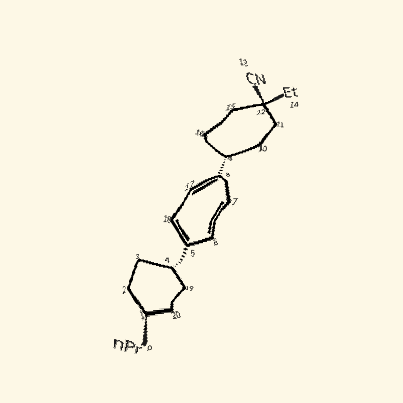 CCC[C@H]1CC[C@H](c2ccc([C@H]3CC[C@@](C#N)(CC)CC3)cc2)CC1